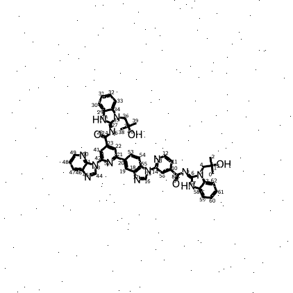 CC(C)(O)Cn1/c(=N/C(=O)c2ccnc(-n3cnc4cc(-c5cc(C(=O)/N=c6\[nH]c7ccccc7n6CC(C)(C)O)cc(-n6cnc7cccnc76)n5)ccc43)c2)[nH]c2ccccc21